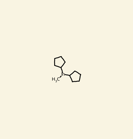 [CH3][In]([CH]1CCCC1)[CH]1CCCC1